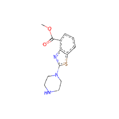 COC(=O)c1cccc2sc(N3CCNCC3)nc12